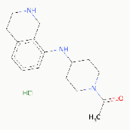 CC(=O)N1CCC(Nc2cccc3c2CNCC3)CC1.Cl